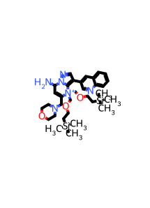 C[Si](C)(C)CCOC[N+]1(COCC[Si](C)(C)C)C(CN2CCOCC2)=CC(N)n2ncc(-c3cnc4ccccc4c3)c21